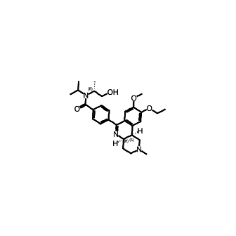 CCOc1cc2c(cc1OC)C(c1ccc(C(=O)N(C(C)C)[C@H](C)CO)cc1)=N[C@@H]1CCN(C)C[C@H]21